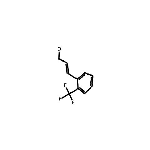 [O]CC=Cc1ccccc1C(F)(F)F